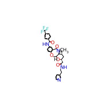 CN1C(=O)c2cc(NC(=O)c3ccc(C(F)(F)F)cc3)ccc2OC[C@@H]2O[C@H](CC(=O)NCCc3cccnc3)CC[C@@H]21